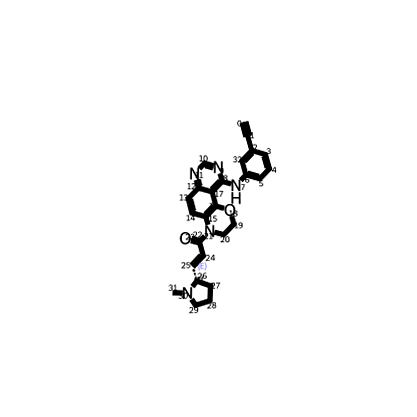 C#Cc1cccc(Nc2ncnc3ccc4c(c23)OCCN4C(=O)/C=C/[C@@H]2CCCN2C)c1